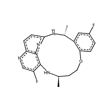 C[C@@H]1CCOc2ccc(F)cc2[C@@H](C)Nc2ccc3ncc(F)c(c3n2)N1